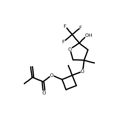 C=C(C)C(=O)OC1CCC1(C)OC1(C)COC(O)(C(F)(F)F)C1